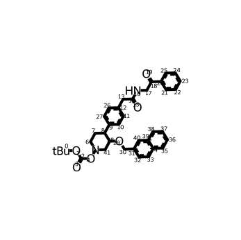 CC(C)(C)OC(=O)ON1CCC(c2ccc(CC(=O)NCC(=O)c3ccccc3)cc2)C(OCc2ccc3ccccc3c2)C1